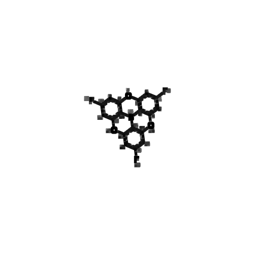 Fc1cc2c3c(c1)Oc1cc(F)cc4c1B3c1c(cc(F)cc1O4)O2